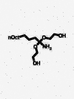 CCCCCCCCCCCC(N)(OCCO)OCCO